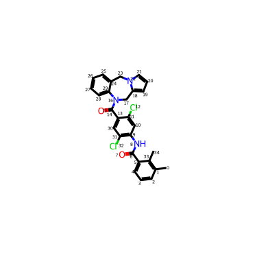 Cc1cccc(C(=O)Nc2cc(Cl)c(C(=O)N3Cc4cccn4Cc4ccccc43)cc2Cl)c1C